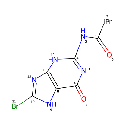 CC(C)C(=O)Nc1nc(=O)c2[nH]c(Br)nc2[nH]1